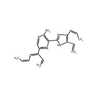 C=C/C(=C\C=C/C)c1cnc(N)c(-c2nc(/C=C\C)c(C=C)[nH]2)n1